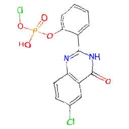 O=c1[nH]c(-c2ccccc2OP(=O)(O)OCl)nc2ccc(Cl)cc12